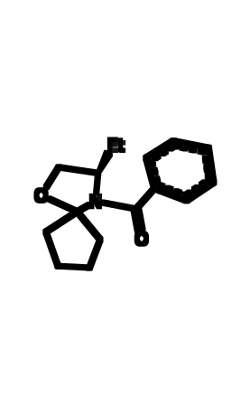 CC[C@@H]1COC2(CCCC2)N1C(=O)c1ccccc1